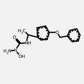 CC(NC(=O)N(N)O)c1ccc(OCc2ccccc2)cc1